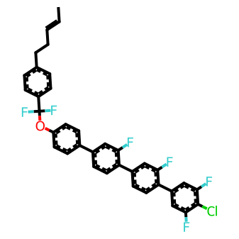 C/C=C/CCc1ccc(C(F)(F)Oc2ccc(-c3ccc(-c4ccc(-c5cc(F)c(Cl)c(F)c5)c(F)c4)c(F)c3)cc2)cc1